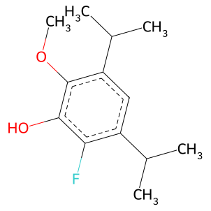 COc1c(C(C)C)cc(C(C)C)c(F)c1O